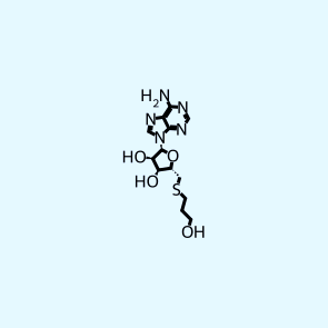 Nc1ncnc2c1ncn2[C@@H]1O[C@H](CSCCCO)[C@@H](O)[C@H]1O